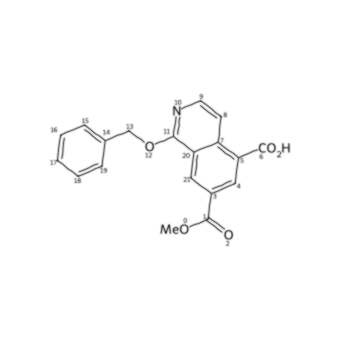 COC(=O)c1cc(C(=O)O)c2ccnc(OCc3ccccc3)c2c1